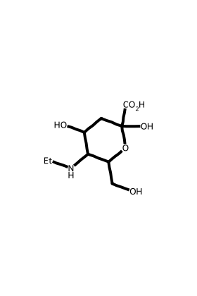 CCNC1C(O)CC(O)(C(=O)O)OC1CO